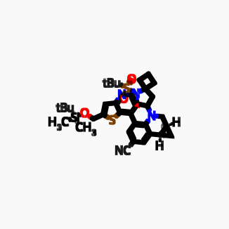 CC(C)(C)[Si](C)(C)OCc1cc2nccc(-c3cc(C#N)cc4c3N(C3CN(S(=O)(=O)C(C)(C)C)C5(CCC5)C3)C[C@H]3C[C@@H]43)c2s1